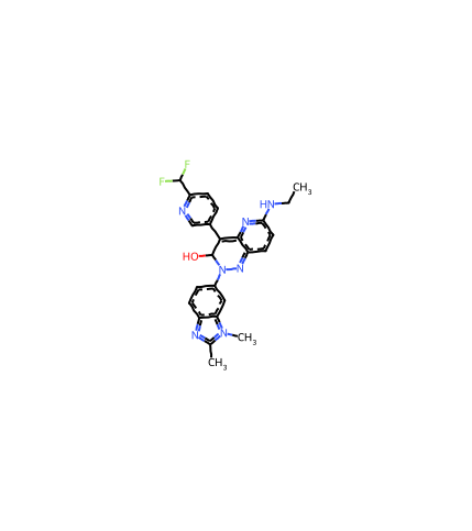 CCNc1ccc2c(n1)=C(c1ccc(C(F)F)nc1)C(O)N(c1ccc3nc(C)n(C)c3c1)N=2